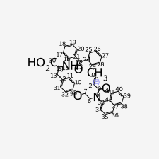 C/C=C/C(=O)N(CCOc1ccc(C[C@H](Nc2ccccc2C(=O)c2ccccc2)C(=O)O)cc1)c1cccc2ccccc12